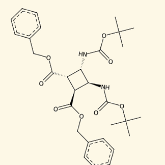 CC(C)(C)OC(=O)N[C@@H]1[C@@H](NC(=O)OC(C)(C)C)[C@@H](C(=O)OCc2ccccc2)[C@@H]1C(=O)OCc1ccccc1